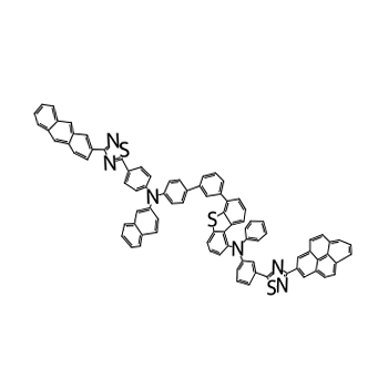 c1ccc(N(c2cccc(-c3nc(-c4cc5ccc6cccc7ccc(c4)c5c67)ns3)c2)c2cccc3sc4c(-c5cccc(-c6ccc(N(c7ccc(-c8nc(-c9ccc%10cc%11ccccc%11cc%10c9)ns8)cc7)c7ccc8ccccc8c7)cc6)c5)cccc4c23)cc1